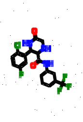 O=C1CNC(C(=O)NC2CCCC(C(F)(F)F)C2)C(c2cc(F)ccc2Cl)N1